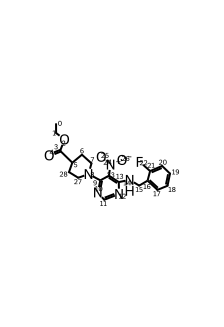 CCOC(=O)C1CCN(c2ncnc(NCc3ccccc3F)c2[N+](=O)[O-])CC1